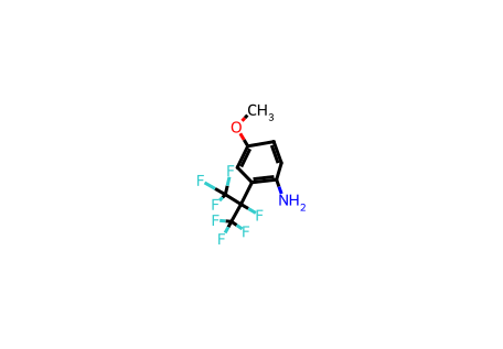 COc1ccc(N)c(C(F)(C(F)(F)F)C(F)(F)F)c1